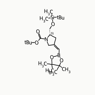 CC(C)(C)OC(=O)N1CC(=CB2OC(C)(C)C(C)(C)O2)C[C@H]1CO[Si](C)(C)C(C)(C)C